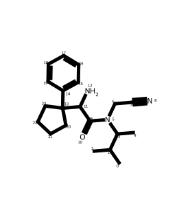 CC(C)C(C)N(CC#N)C(=O)C(N)C1(c2ccccc2)CCCC1